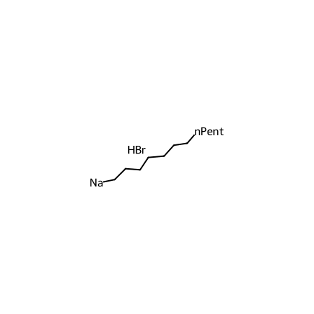 Br.CCCCCCCCCCC[CH2][Na]